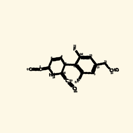 O=C=C1C=CC(c2c(F)cc(CC=O)cc2F)C(=C=O)N1